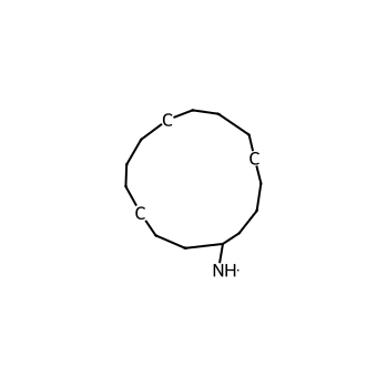 [NH]C1CCCCCCCCCCCCCC1